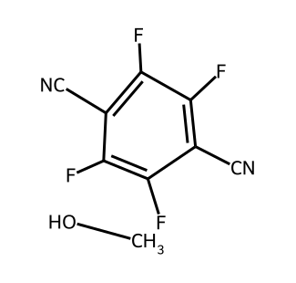 CO.N#Cc1c(F)c(F)c(C#N)c(F)c1F